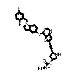 CCNC(=O)OC1CNC(C#Cc2cc3ncnc(Nc4ccc5c(ccn5Cc5cc(F)ccc5F)c4)c3s2)C1